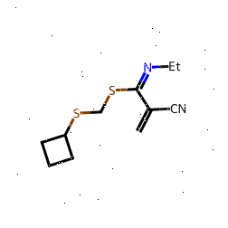 C=C(C#N)/C(=N\CC)SCSC1CCC1